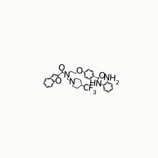 Nc1ccccc1NC(=O)c1ccc(OCCN(CN2CCC(C(F)(F)F)CC2)C(=O)c2cc3ccccc3o2)cc1